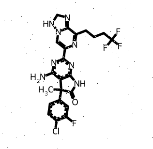 CC1(c2ccc(Cl)c(F)c2)C(=O)Nc2nc(C3=CN4NCN=C4C(CCCC(F)(F)F)=N3)nc(N)c21